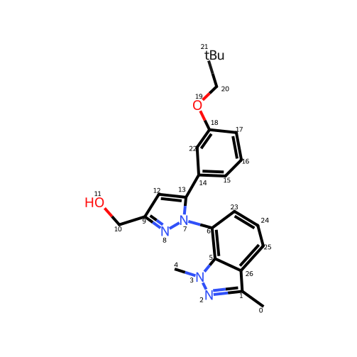 Cc1nn(C)c2c(-n3nc(CO)cc3-c3cccc(OCC(C)(C)C)c3)cccc12